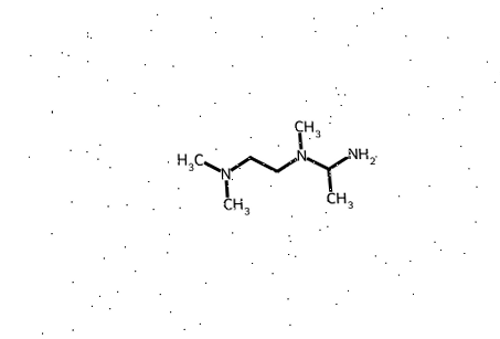 CC(N)N(C)CCN(C)C